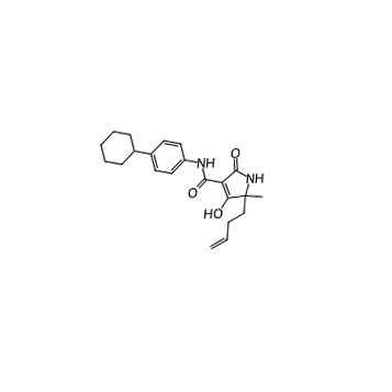 C=CCCC1(C)NC(=O)C(C(=O)Nc2ccc(C3CCCCC3)cc2)=C1O